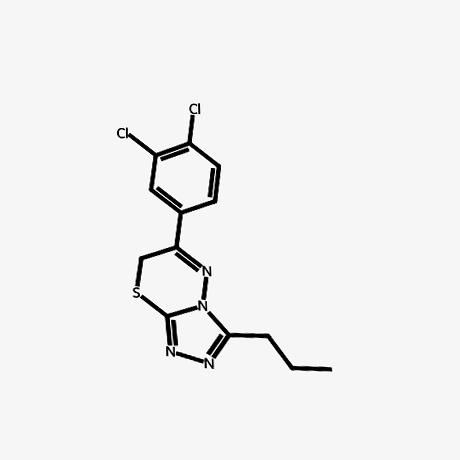 CCCc1nnc2n1N=C(c1ccc(Cl)c(Cl)c1)CS2